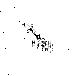 CSC(=S)OCC1CC(O[Si](C)(C)C(C)(C)C)C1